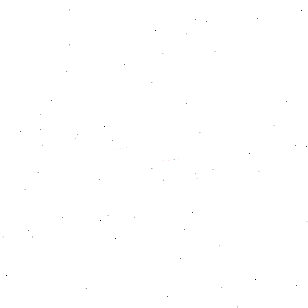 CCCCCOBOC=O